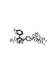 Cc1nnn(C2CCN(C(=O)OC(C)(C)C)CC2)c1-c1cccc(F)n1